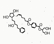 O=C(CCC/C=C\C[C@@H]1[C@@H](CC[C@@H](O)CCc2ccccc2)[C@H](O)C[C@H]1O)Oc1ccc(C(=O)OC(CO)CO)cc1